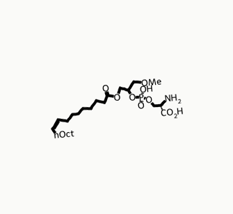 CCCCCCCC/C=C\CCCCCCCC(=O)OCC(COC)OP(=O)(O)OC[C@H](N)C(=O)O